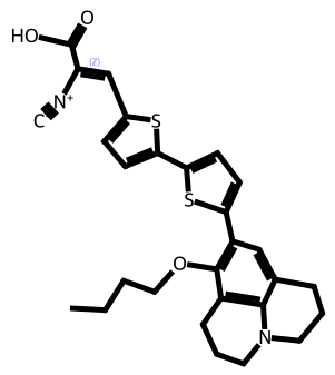 [C-]#[N+]/C(=C\c1ccc(-c2ccc(-c3cc4c5c(c3OCCCC)CCCN5CCC4)s2)s1)C(=O)O